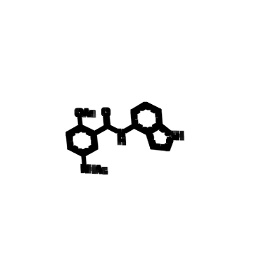 CC(=O)Nc1ccc(OC(C)=O)c(C(=O)Nc2cccc3[nH]ccc23)c1